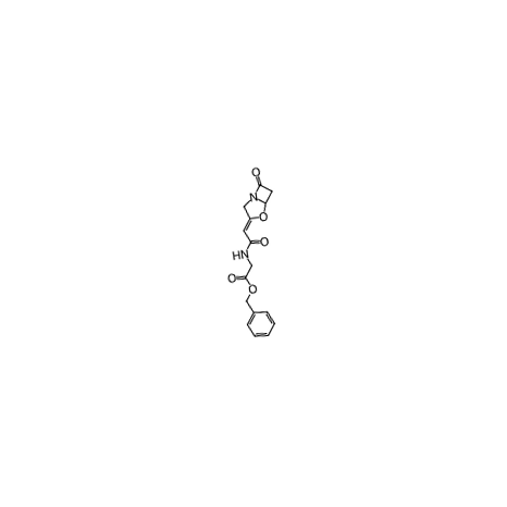 O=C(/C=C1/CN2C(=O)CC2O1)NCC(=O)OCc1ccccc1